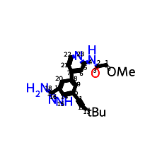 COCC(=O)Nc1cc(-c2cc(C#CC(C)(C)C)c3[nH]nc(N)c3c2)ccn1